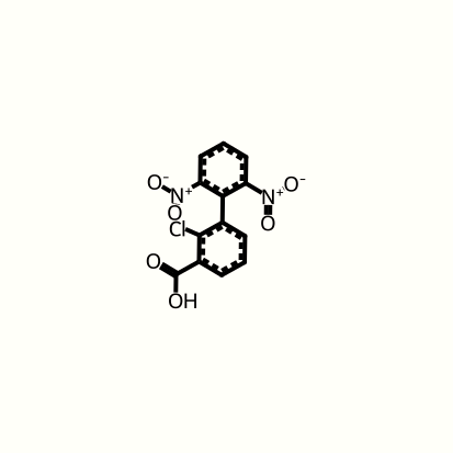 O=C(O)c1cccc(-c2c([N+](=O)[O-])cccc2[N+](=O)[O-])c1Cl